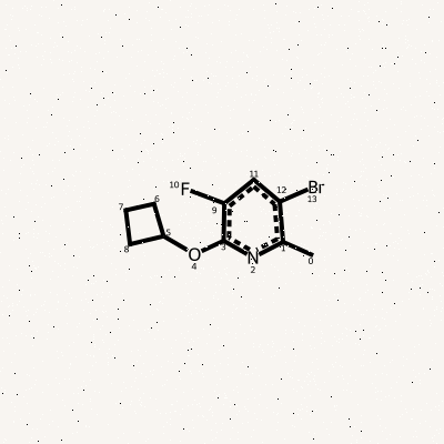 Cc1nc(OC2CCC2)c(F)cc1Br